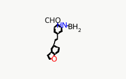 BNc1cc(/C=C/c2ccc3occc3c2)ccc1C=O